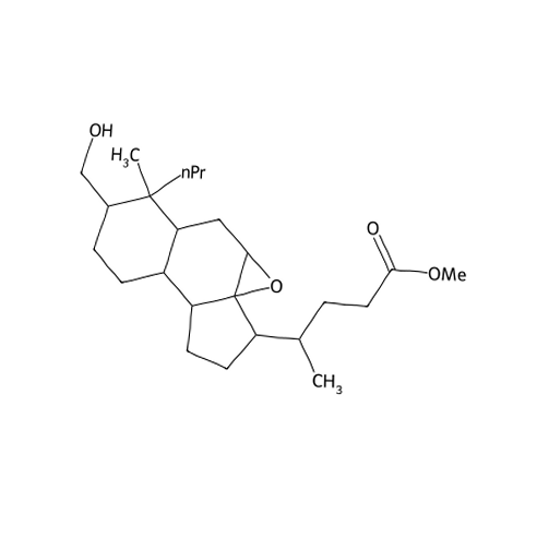 CCCC1(C)C(CO)CCC2C1CC1OC13C(C(C)CCC(=O)OC)CCC23